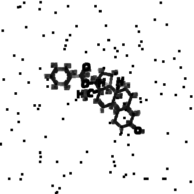 C[C@]12C=CC3=C4CCC(=O)C=C4CC[C@H]3[C@@H]1CC[C@@H]2OC(=O)c1ccccc1